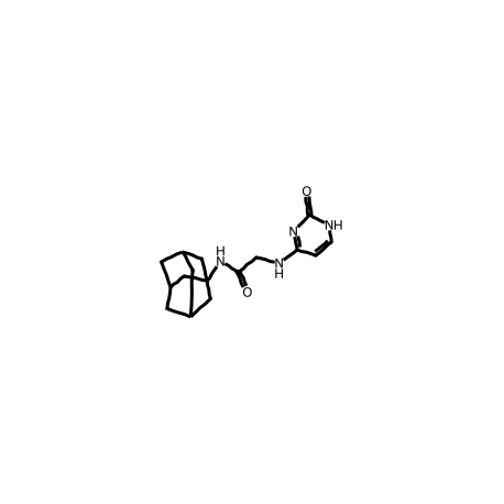 O=C(CNc1cc[nH]c(=O)n1)NC12CC3CC(CC(C3)C1)C2